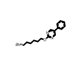 CC[C@H](C)CCCCCCOc1ncc(-c2[c]cccc2)cn1